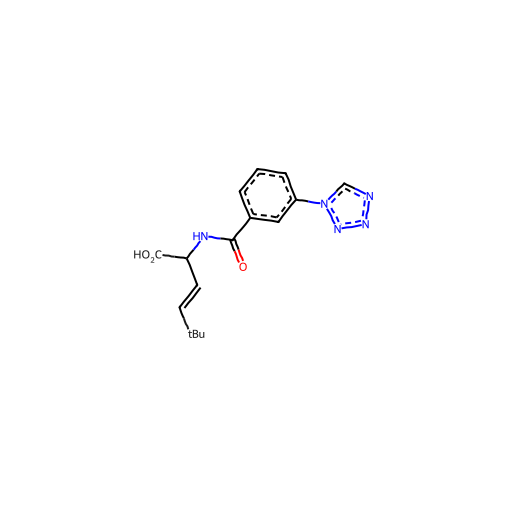 CC(C)(C)/C=C/C(NC(=O)c1cccc(-n2cnnn2)c1)C(=O)O